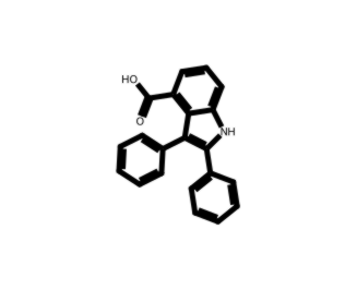 O=C(O)c1cccc2[nH]c(-c3ccccc3)c(-c3ccccc3)c12